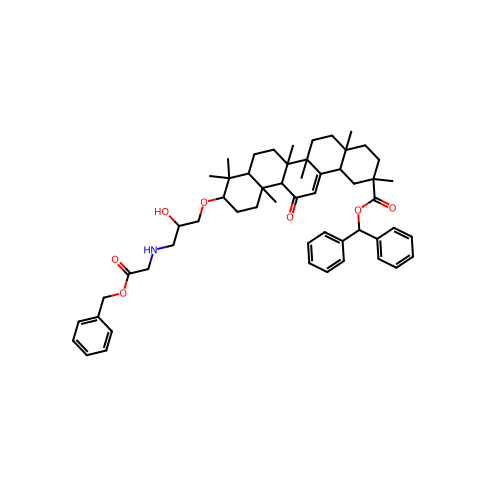 CC1(C(=O)OC(c2ccccc2)c2ccccc2)CCC2(C)CCC3(C)C(=CC(=O)C4C5(C)CCC(OCC(O)CNCC(=O)OCc6ccccc6)C(C)(C)C5CCC43C)C2C1